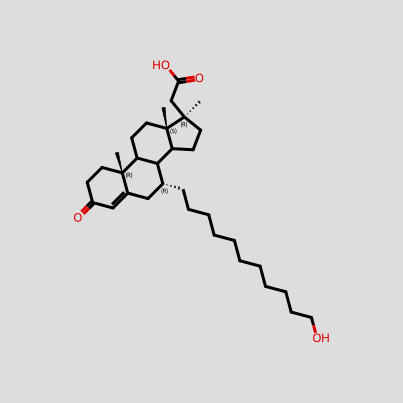 C[C@]1(CC(=O)O)CCC2C3C(CC[C@@]21C)[C@@]1(C)CCC(=O)C=C1C[C@H]3CCCCCCCCCCCO